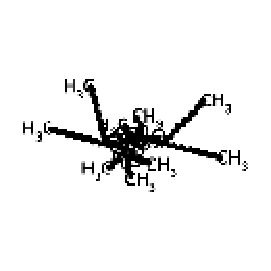 CCCCCCCCCCCCCCC(CCCCCCCCCCCCCC)CC(=O)OCC1O[C@H](O[C@H]2OC(COC(=O)CC(CCCCCCCCCCCCCC)CCCCCCCCCCCCCC)[C@@H](OCCCC)[C@H](OCCCC)C2OCCCC)C(OCCCC)[C@@H](OCCCC)[C@@H]1OCCCC